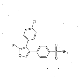 NS(=O)(=O)c1ccc(-c2coc(Br)c2-c2ccc(Cl)cc2)cc1